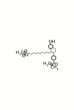 CN(C)C(=O)c1ccc(C2CCc3cc(O)ccc3C2CCCCCCCCCCOS(C)(=O)=O)cc1